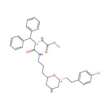 COC(=O)N[C@H](C(=O)NCCCC1CNC[C@@H](CCc2ccc(Cl)cc2)O1)C(c1ccccc1)c1ccccc1